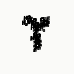 CC(CCNC(=O)C(N)CO)(CCOC(=O)Nc1cc2cc(F)ccc2cn1)C(=O)NCc1cccc(F)c1Cl